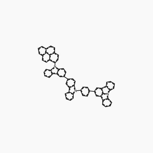 c1cc2ccc3ccc(-n4c5ccccc5c5cc(-c6ccc7c(c6)c6ccccc6n7-c6ccc(-c7cc8c9ccccc9n9c%10ccccc%10c(c7)c89)cc6)ccc54)c4ccc(c1)c2c34